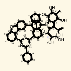 C=C(O)c1c(/C(O)=C(/O)CO)n(-c2ccc(-c3ccc4oc5cccc(-c6nc(-c7ccccc7)nc(-c7cccc(-c8ccccc8)c7)n6)c5c4c3)cc2)c2c(O)c(O)c(C)c(O)c12